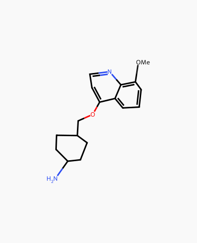 COc1cccc2c(OCC3CCC(N)CC3)ccnc12